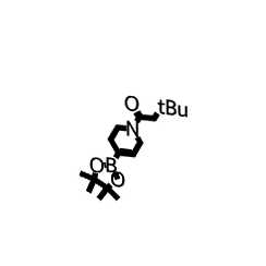 CC(C)(C)CC(=O)N1CC=C(B2OC(C)(C)C(C)(C)O2)CC1